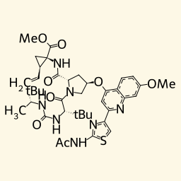 C=C[C@H]1C[C@]1(NC(=O)[C@@H]1C[C@@H](Oc2cc(-c3csc(NC(C)=O)n3)nc3cc(OC)ccc23)CN1C(=O)[C@@H](NC(=O)N[C@H](C)C(C)(C)C)C(C)(C)C)C(=O)OC